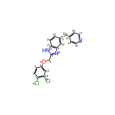 Clc1ccc(OCc2nc3cc(Sc4ccncc4)ccc3[nH]2)cc1Cl